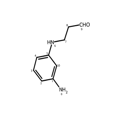 Nc1cccc(NCCC=O)c1